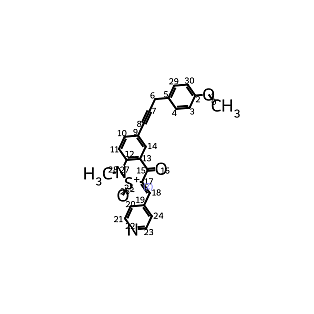 COc1ccc(CC#Cc2ccc3c(c2)C(=O)/C(=C/c2ccncc2)[S+]([O-])N3C)cc1